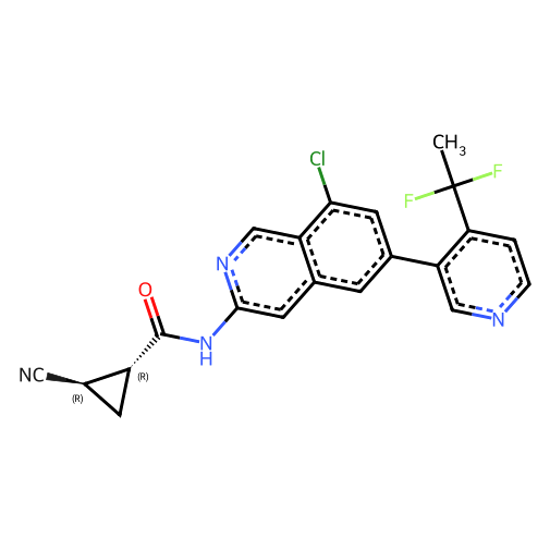 CC(F)(F)c1ccncc1-c1cc(Cl)c2cnc(NC(=O)[C@@H]3C[C@H]3C#N)cc2c1